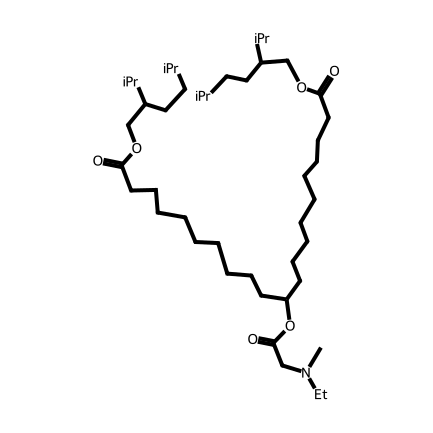 CCN(C)CC(=O)OC(CCCCCCCCCC(=O)OCC(CCC(C)C)C(C)C)CCCCCCCCCC(=O)OCC(CCC(C)C)C(C)C